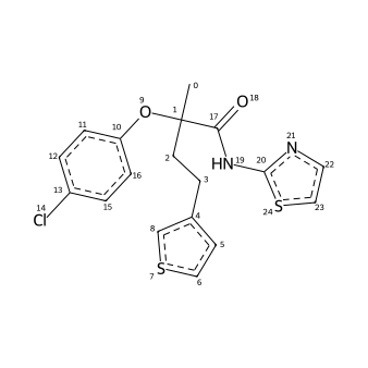 CC(CCc1ccsc1)(Oc1ccc(Cl)cc1)C(=O)Nc1nccs1